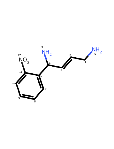 NCC=CC(N)c1ccccc1[N+](=O)[O-]